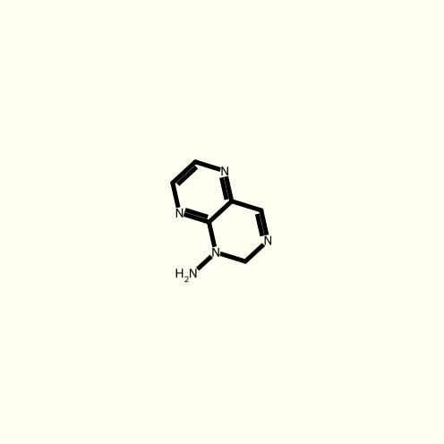 NN1CN=Cc2nccnc21